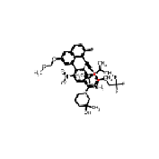 COCOc1cc(-c2c([N+](=O)[O-])cc3c(N4CCCC(C)(O)C4)nc(OCC(F)(F)F)nc3c2F)c2c(C#C[Si](C(C)C)(C(C)C)C(C)C)c(F)ccc2c1